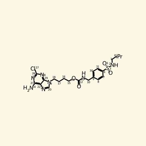 CC(C)CNS(=O)(=O)c1ccc(CNC(=O)OCCCCn2cnc3c(N)nc(Cl)nc32)cc1